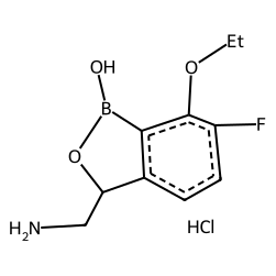 CCOc1c(F)ccc2c1B(O)OC2CN.Cl